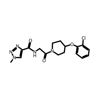 Cn1cc(C(=O)NCC(=O)N2CCC(Oc3ccccc3Cl)CC2)nn1